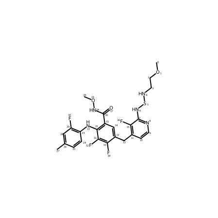 COCCNSNc1nccc(Cc2cc(C(=O)NOC)c(Nc3ccc(C)cc3F)c(F)c2F)c1F